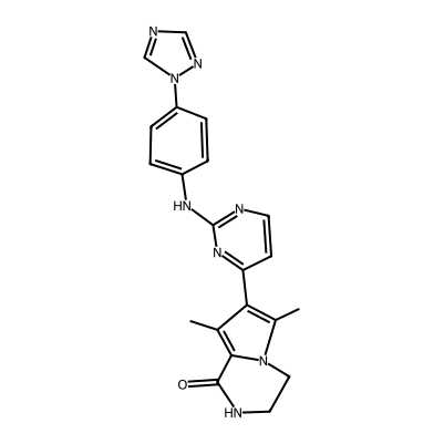 Cc1c(-c2ccnc(Nc3ccc(-n4cncn4)cc3)n2)c(C)n2c1C(=O)NCC2